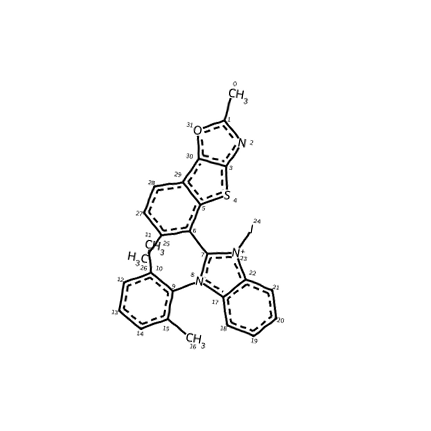 Cc1nc2sc3c(-c4n(-c5c(C)cccc5C)c5ccccc5[n+]4I)c(C)ccc3c2o1